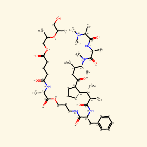 CCC(CO)OC(COC(=O)CCCC(=O)N[C@@H](C)C(=O)OCCCNC(=O)[C@H](Cc1ccccc1)NC(=O)[C@H](C)[C@@H](OC)[C@@H]1CCCC1C(=O)C[C@@H](OC)[C@H]([C@@H](C)CC)N(C)C(=O)[C@@H](NC(=O)[C@H](C(C)C)N(C)C)C(C)C)OC